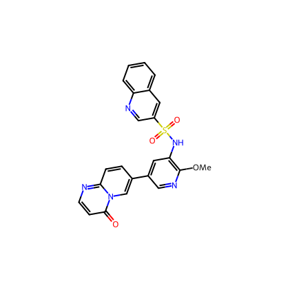 COc1ncc(-c2ccc3nccc(=O)n3c2)cc1NS(=O)(=O)c1cnc2ccccc2c1